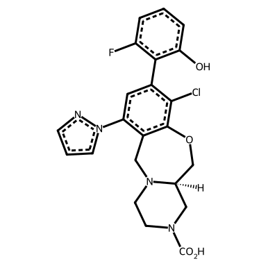 O=C(O)N1CCN2Cc3c(-n4cccn4)cc(-c4c(O)cccc4F)c(Cl)c3OC[C@H]2C1